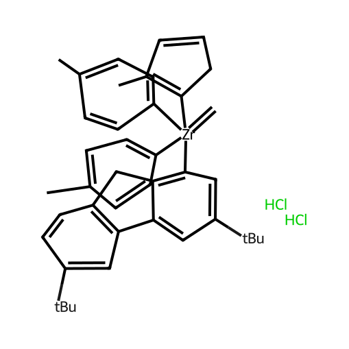 Cl.Cl.[CH2]=[Zr]([C]1=C(C)C=CC1)([c]1ccc(C)cc1)([c]1ccc(C)cc1)[c]1cc(C(C)(C)C)cc2c1Cc1ccc(C(C)(C)C)cc1-2